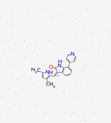 Cc1cc(C)c(/C=C2\C(=O)Nc3c2cccc3-c2ccncc2)[nH]1